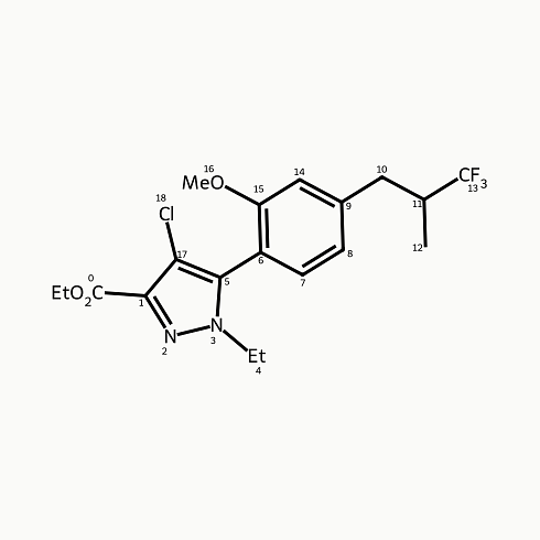 CCOC(=O)c1nn(CC)c(-c2ccc(CC(C)C(F)(F)F)cc2OC)c1Cl